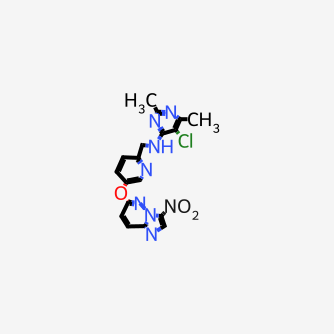 Cc1nc(C)c(Cl)c(NCc2ccc(Oc3ccc4ncc([N+](=O)[O-])n4n3)cn2)n1